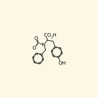 O=C(O)C(Cc1ccc(O)cc1)N(Cc1ccccc1)P(=O)=O